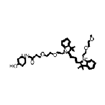 COCCOCC[N+]1=C(/C=C/C=C2/N(CCOCCOCCC(=O)NC3CCC(O)CC3)c3ccccc3C2(C)C)C(C)(C)c2ccccc21